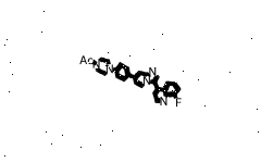 CC(=O)N1CCN(c2ccc(-c3ccn4c(-c5ccnc6c(F)cccc56)cnc4c3)cc2)CC1